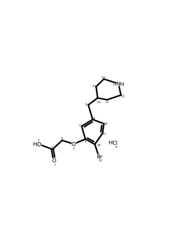 Cl.O=C(O)COc1cc(CC2CCNCC2)ccc1Br